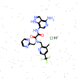 Cc1cc(C(F)(F)F)cnc1CN(Cc1ncccn1)C(=O)C(=O)Nc1cnc(N)c2cn[nH]c12.[Cl-].[H+]